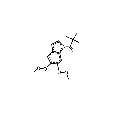 COOc1cc2ccn(C(=O)C(C)(C)C)c2cc1OOC